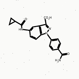 NC(=O)c1ccc(-n2nc(C(=O)O)c3cc(NC(=O)C4CC4)ccc32)cc1